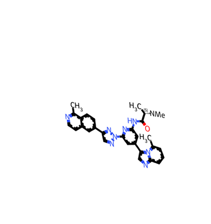 CN[C@@H](C)C(=O)Nc1cc(-c2cnc3cccc(C)n23)cc(-n2ncc(-c3ccc4c(C)nccc4c3)n2)n1